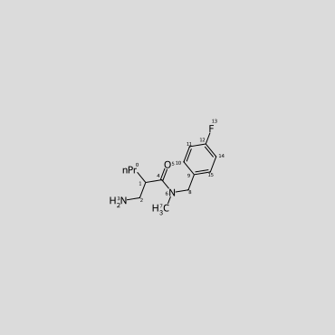 CCCC(CN)C(=O)N(C)Cc1ccc(F)cc1